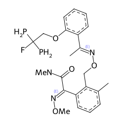 CNC(=O)/C(=N/OC)c1cccc(C)c1CO/N=C(\C)c1ccccc1OCC(F)(P)P